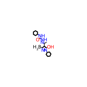 Bc1nn(-c2ccccc2)c(O)c1/C(C)=N/NC(=O)Nc1ccccc1